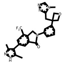 Cc1n[nH]c(C)c1-c1cc2c(c(C(F)(F)F)c1)CN(c1cccc(C3(Cc4nncn4C)COC3)c1)C2=O